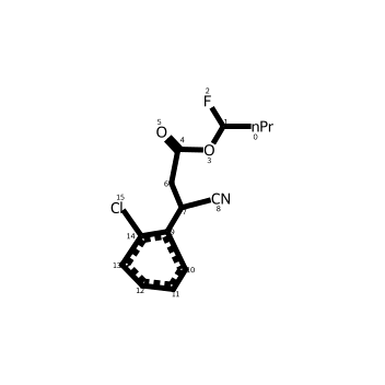 CCCC(F)OC(=O)CC(C#N)c1ccccc1Cl